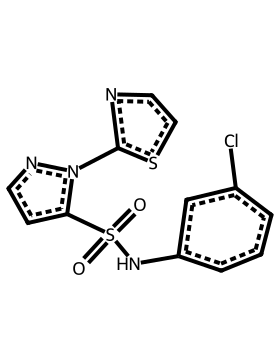 O=S(=O)(Nc1cccc(Cl)c1)c1ccnn1-c1nccs1